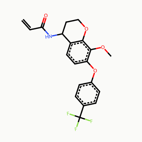 C=CC(=O)NC1CCOc2c1ccc(Oc1ccc(C(F)(F)F)cc1)c2OC